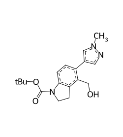 Cn1cc(-c2ccc3c(c2CO)CCN3C(=O)OC(C)(C)C)cn1